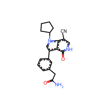 N#Cc1c[nH]c(=O)c2c(-c3cccc(CC(N)=O)c3)cn(C3CCCC3)c12